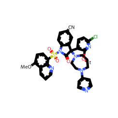 CCOc1nc(Cl)ccc1C1(N2CCCN(c3ccncc3)CC2)C(=O)N(S(=O)(=O)c2ccc(OC)c3cccnc23)c2ccc(C#N)cc21